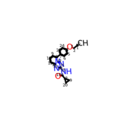 C#CCOc1ccc(-c2cccc3nc(NC(=O)C4CC4)nn23)cc1